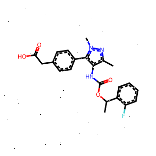 Cc1nn(C)c(-c2ccc(CC(=O)O)cc2)c1NC(=O)OC(C)c1ccccc1F